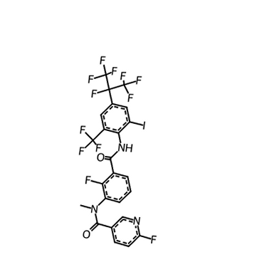 CN(C(=O)c1ccc(F)nc1)c1cccc(C(=O)Nc2c(I)cc(C(F)(C(F)(F)F)C(F)(F)F)cc2C(F)(F)F)c1F